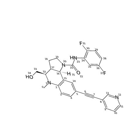 CN1c2ccc(C#Cc3cccnc3)cc2[C@H]2C(CCN2C(=O)Nc2cc(F)ccc2F)[C@@H]1CO